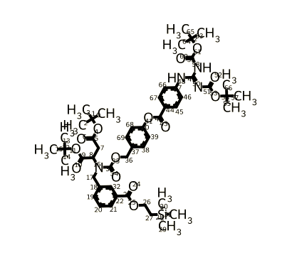 CC(C)(C)OC(=O)CC(C(=O)OC(C)(C)C)N(Cc1cccc(C(=O)OCC[Si](C)(C)C)c1)C(=O)OCc1ccc(OC(=O)c2ccc(NC(=NC(=O)OC(C)(C)C)NC(=O)OC(C)(C)C)cc2)cc1